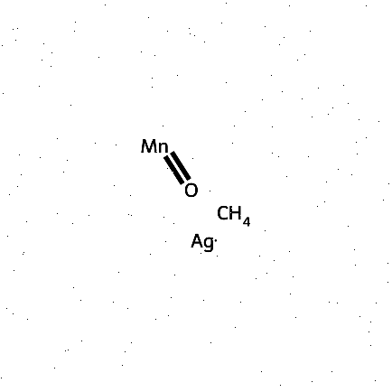 C.[Ag].[O]=[Mn]